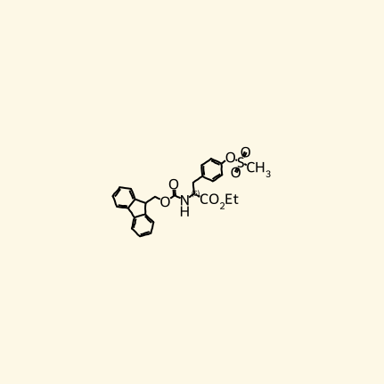 CCOC(=O)[C@H](Cc1ccc(OS(C)(=O)=O)cc1)NC(=O)OCC1c2ccccc2-c2ccccc21